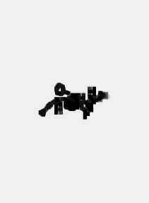 C[C@H]1C[C@@H]1CNc1cc(C(=O)N[C@@H](Cc2ccccc2)[C@H](O)CNCC#CC2CC2)cc(F)n1